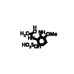 COc1cccc(NC(C)O)c1N.O=S(=O)(O)O